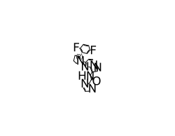 O=C(Nc1cnn2ccc(N3CCC[C@@H]3c3cc(F)ccc3F)nc12)c1ncccn1